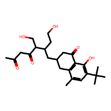 CC(=O)CC(=O)C(CO)C(CCO)CC1CC(=O)c2c(O)c(C(C)(C)C)cc(C)c2C1